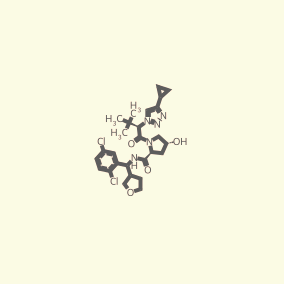 CC(C)(C)[C@H](C(=O)N1C[C@H](O)C[C@H]1C(=O)NC(c1cc(Cl)ccc1Cl)C1CCOC1)n1cc(C2CC2)nn1